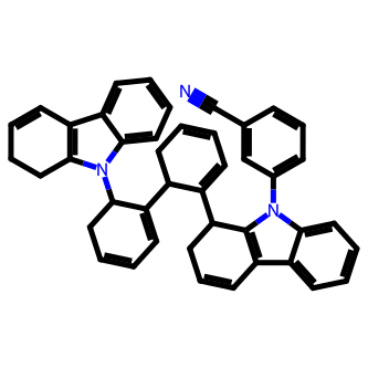 N#Cc1cccc(-n2c3c(c4ccccc42)C=CCC3C2=CC=CCC2C2=CC=CCC2n2c3c(c4ccccc42)C=CCC3)c1